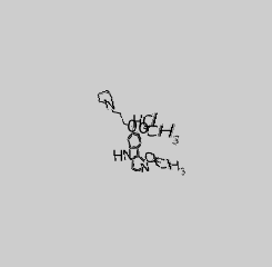 COc1cc2c(cc1OCCCN1CCCC1)[nH]c1ccnc(OC)c12.Cl